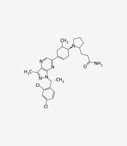 Cc1nn([C@H](C)c2ccc(Cl)cc2Cl)c2nc(C3=CC[C@H](N4CCCC4CCC(N)=O)C(C)C3)cnc12